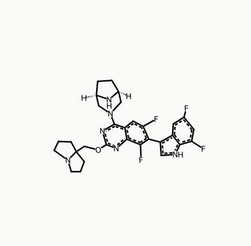 Fc1cc(F)c2[nH]cc(-c3c(F)cc4c(N5C[C@H]6CC[C@@H](C5)N6)nc(OCC56CCCN5CCC6)nc4c3F)c2c1